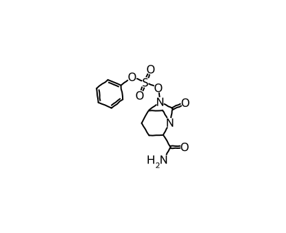 NC(=O)C1CCC2CN1C(=O)N2OS(=O)(=O)Oc1ccccc1